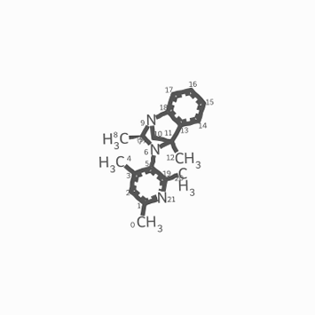 Cc1cc(C)c(N2[C@@H](C)N3CC2(C)c2ccccc23)c(C)n1